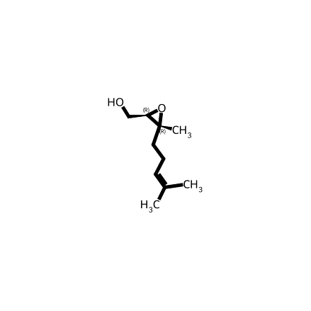 CC(C)=CCC[C@@]1(C)O[C@@H]1CO